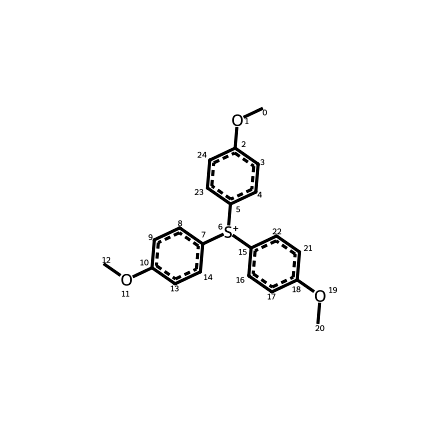 COc1ccc([S+](c2ccc(OC)cc2)c2ccc(OC)cc2)cc1